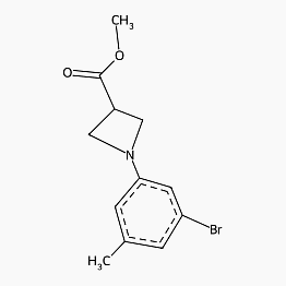 COC(=O)C1CN(c2cc(C)cc(Br)c2)C1